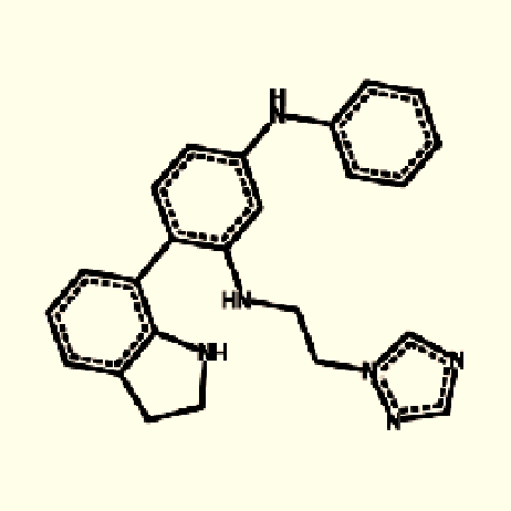 c1ccc(Nc2ccc(-c3cccc4c3NCC4)c(NCCn3cncn3)c2)cc1